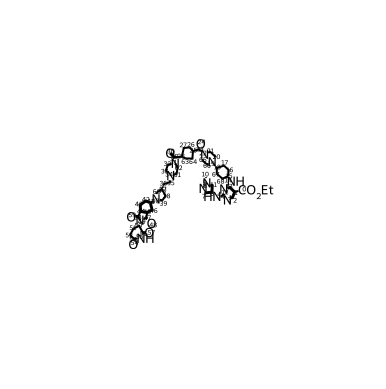 CCOC(=O)c1cnc(Nc2cnn(C)c2)nc1NC1CCC(N2CCN(C(=O)C3CCC(C(=O)N4CCN(CC[C@H]5CCN(c6ccc7c(c6)C(=O)N(C6CCC(=O)NC6=O)C7=O)C5)CC4)CC3)CC2)CC1